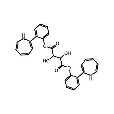 O=C(Oc1ccccc1C1=CC=CC=CN1)C(O)C(O)C(=O)Oc1ccccc1C1=CC=CC=CN1